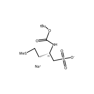 CSCC[C@@H](CS(=O)(=O)[O-])NC(=O)OC(C)(C)C.[Na+]